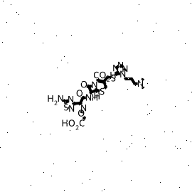 CN(C)CCCn1nnnc1SCC1=C(C(=O)O)N2C(=O)C(NC(=O)C(=NOCC(=O)O)c3nsc(N)n3)[C@@H]2SC1